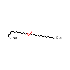 CCCCC/C=C\C/C=C\CCCCCCCCOC(=O)CCCCCCCCCCCCCCCCCCCCCCC